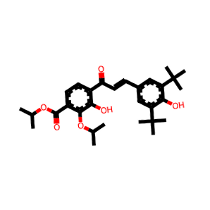 CC(C)OC(=O)c1ccc(C(=O)/C=C/c2cc(C(C)(C)C)c(O)c(C(C)(C)C)c2)c(O)c1OC(C)C